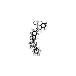 ClCc1ccccc1COc1ccc2oc(-c3nc(-c4ccccn4)cs3)cc2c1